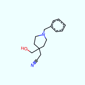 N#CCC1(CO)CCN(Cc2ccccc2)CC1